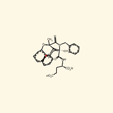 CC1(C(=O)N(Cc2ccccc2)[C@](C)(Cc2ccccc2)C(=O)N[C@H](CCC(=O)O)C(=O)O)Oc2ccccc2NC1=O